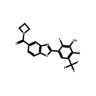 O=C(c1ccc2oc(-c3cc(C(F)(F)F)c(F)c(O)c3F)nc2c1)N1CCC1